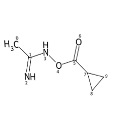 CC(=N)NOC(=O)C1CC1